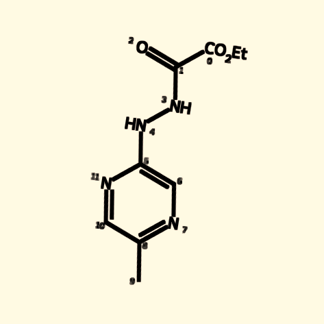 CCOC(=O)C(=O)NNc1cnc(C)cn1